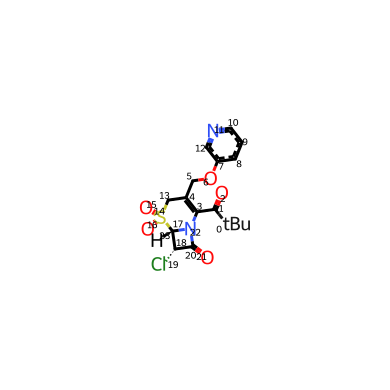 CC(C)(C)C(=O)C1=C(COc2cccnc2)CS(=O)(=O)[C@H]2[C@@H](Cl)C(=O)N12